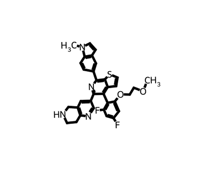 COCCOc1cc(F)cc(F)c1-c1c(-c2cnc3c(c2)CNCC3)nc(-c2ccc3c(ccn3C)c2)c2sccc12